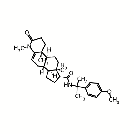 COc1ccc(C(C)(C)NC(=O)[C@H]2CC[C@H]3[C@@H]4CC=C5N(C)C(=O)CC[C@]5(C)[C@H]4CC[C@]23C)cc1